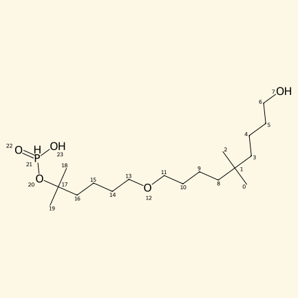 CC(C)(CCCCO)CCCCOCCCCC(C)(C)O[PH](=O)O